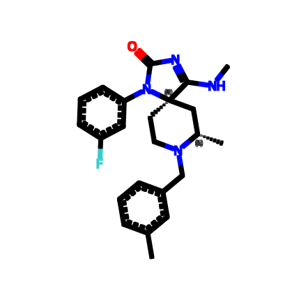 CNC1=NC(=O)N(c2cccc(F)c2)[C@@]12CCN(Cc1cccc(C)c1)[C@@H](C)C2